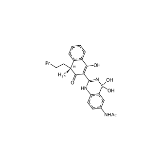 CC(=O)Nc1ccc2c(c1)S(O)(O)N=C(C1=C(O)c3ccccc3[C@@](C)(CCC(C)C)C1=O)N2